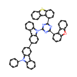 c1ccc(-n2c3ccccc3c3cc(-c4ccc5c(c4)c4ccccc4n5-c4nc(-c5cccc6oc7ccccc7c56)nc(-c5cccc6sc7ccccc7c56)n4)ccc32)cc1